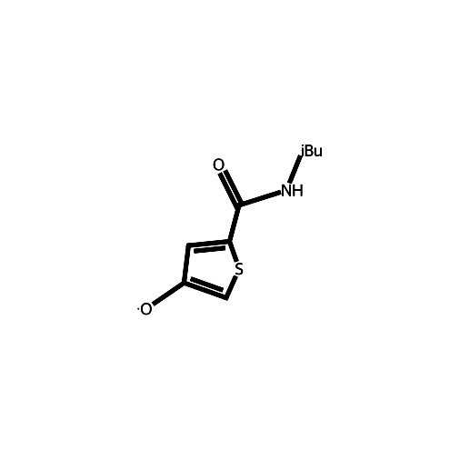 CCC(C)NC(=O)c1cc([O])cs1